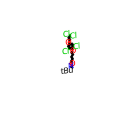 CC(C)(C)C=NOCCCCCOc1c(Cl)cc(OCC=C(Cl)Cl)cc1Cl